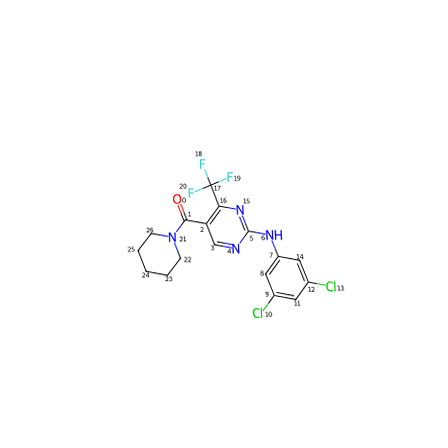 O=C(c1cnc(Nc2cc(Cl)cc(Cl)c2)nc1C(F)(F)F)N1CCCCC1